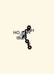 CC(C)(C)OC(=O)N(CCN[C@H](CC(=O)O)Cc1c[nH]c2ccccc12)CCc1ccc(OCc2ccccc2)cc1